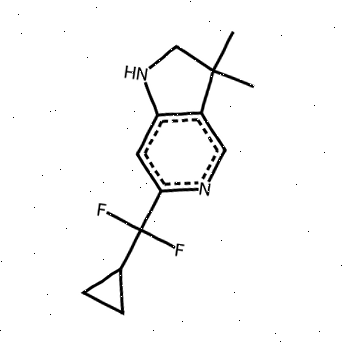 CC1(C)CNc2cc(C(F)(F)C3CC3)ncc21